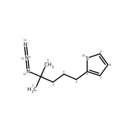 CC(C)(CCCc1cccs1)N=[N+]=[N-]